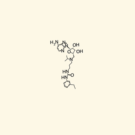 CCc1cccc(NC(=O)NCCCN(C[C@H]2O[C@@H](n3cnc4c(N)ccnc43)[C@H](O)[C@@H]2O)C(C)C)c1